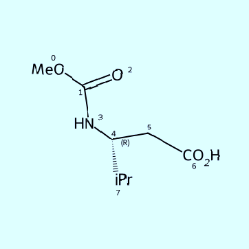 COC(=O)N[C@H](CC(=O)O)C(C)C